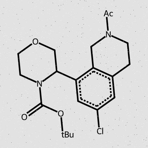 CC(=O)N1CCc2cc(Cl)cc(C3COCCN3C(=O)OC(C)(C)C)c2C1